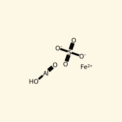 O=S(=O)([O-])[O-].[Fe+2].[O]=[Al][OH]